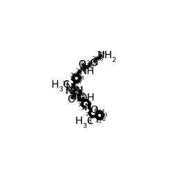 C[C@H](CC(=O)N1CCC(O)(Cn2cnc3c(-c4ccc(CNC(=O)CCOCCN)cc4)n(C)nc3c2=O)CC1)c1ccccc1